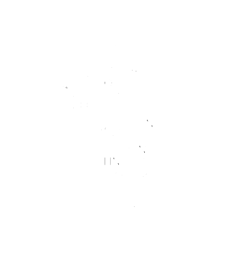 C#Cc1cccc(Nc2ncnc3cc(OC(C)C)c(OC(C)C)cc23)c1